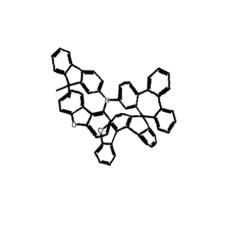 CC1(C)c2ccccc2-c2ccc(N(c3ccc4c(c3)C3(c5ccccc5-c5ccccc5-4)c4ccccc4-c4c3ccc3oc5ccccc5c43)c3cccc4oc5ccccc5c34)cc21